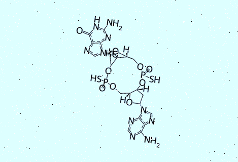 Nc1nc2c(ncn2[C@@H]2O[C@@H]3COP(=O)(S)O[C@@H]4C[C@H](n5cnc6c(N)ncnc65)O[C@@H]4COP(=O)(S)OC2[C@H]3O)c(=O)[nH]1